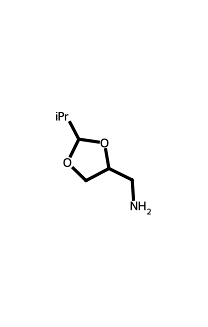 CC(C)C1OCC(CN)O1